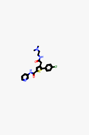 CN(C)CCNC(=O)Cc1cc(C(=O)Nc2cccnc2)sc1-c1ccc(Cl)cc1